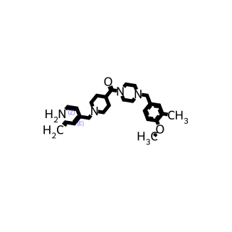 C=C/C=C(\C=C/N)CN1CCC(C(=O)N2CCN(Cc3ccc(OC)c(C)c3)CC2)CC1